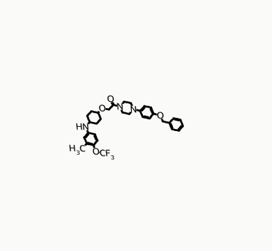 Cc1cc(NC2CCC(OCC(=O)N3CCN(c4ccc(OCc5ccccc5)cc4)CC3)CC2)ccc1OC(F)(F)F